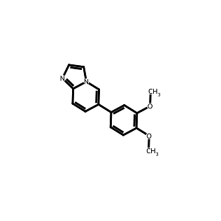 COc1ccc(-c2ccc3nccn3c2)cc1OC